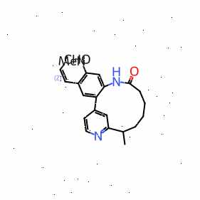 CNc1cc2c(cc1/C=C\C=O)-c1ccnc(c1)C(C)CCCCC(=O)N2